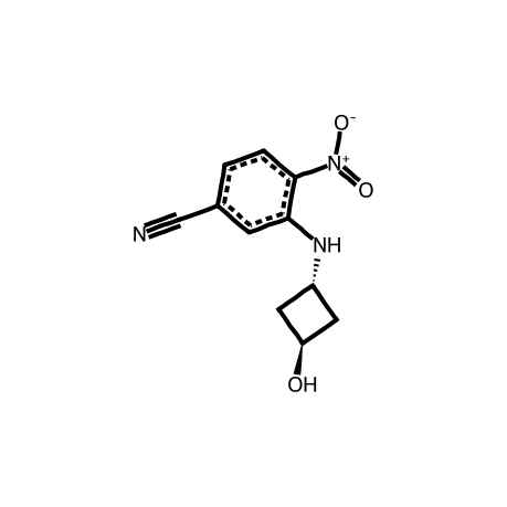 N#Cc1ccc([N+](=O)[O-])c(N[C@H]2C[C@H](O)C2)c1